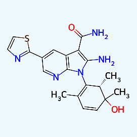 CC1=C(n2c(N)c(C(N)=O)c3cc(-c4nccs4)cnc32)[C@H](C)C(C)(O)C=C1